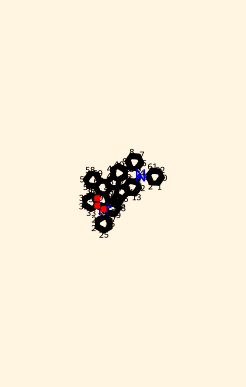 c1ccc(N(c2ccccc2)c2ccc3c(c2)C2(c4cc(N(c5ccccc5)c5ccccc5)ccc4-3)c3ccccc3-c3c2c2c4ccccc4ccc2c2ccccc32)cc1